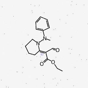 CCOC(=O)/C(C=O)=C1\CCCCN1N(C)c1ccccc1